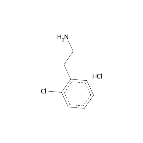 Cl.NCCc1ccccc1Cl